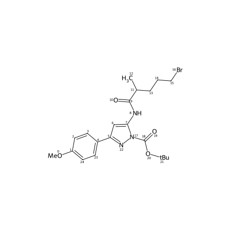 COc1ccc(-c2cc(NC(=O)C(C)CCCBr)n(C(=O)OC(C)(C)C)n2)cc1